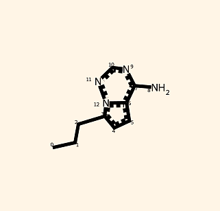 CCCc1ccc2c(N)ncnn12